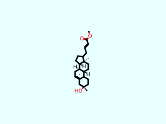 COC(=O)/C=C/CC1CC[C@H]2[C@@H]3CC=C4C[C@@](C)(O)CC[C@]4(C)[C@H]3CC[C@]12C